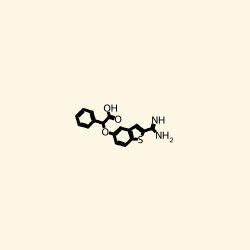 N=C(N)c1cc2cc(OC(C(=O)O)c3ccccc3)ccc2s1